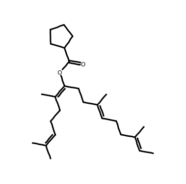 C/C=C(\C)CC/C=C(\C)CC/C(OC(=O)C1CCCC1)=C(/C)CCC=C(C)C